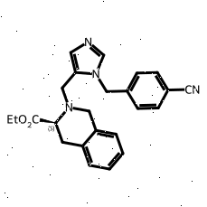 CCOC(=O)[C@@H]1Cc2ccccc2CN1Cc1cncn1Cc1ccc(C#N)cc1